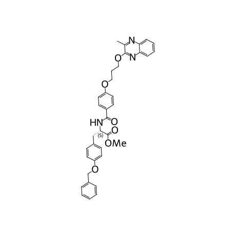 COC(=O)[C@H](Cc1ccc(OCc2ccccc2)cc1)NC(=O)c1ccc(OCCCOc2nc3ccccc3nc2C)cc1